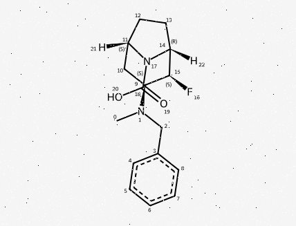 CN(Cc1ccccc1)[C@H]1C[C@@H]2CC[C@H]([C@H]1F)N2C(=O)O